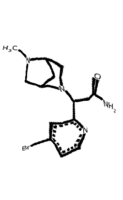 CN1CC2CC1CN2C(C(N)=O)c1cc(Br)ccn1